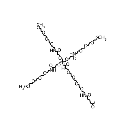 COCCOCCOCCOCCNC(=O)CCOCC(COCCC(=O)NCCOCCOCCOCCOC)(COCCC(=O)NCCOCCOCCOCCOC)NC(=O)CCOCCOCCOCCOCCNC(=O)CCCC(=O)I